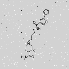 NC(=O)C1CCN(CCCCCNC(=O)c2cc(-c3cccs3)on2)CC1F